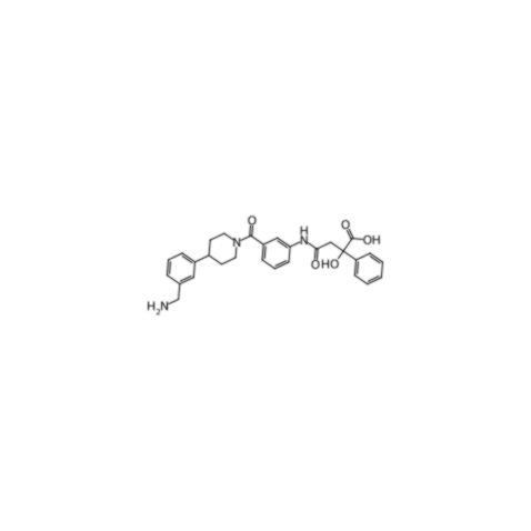 NCc1cccc(C2CCN(C(=O)c3cccc(NC(=O)CC(O)(C(=O)O)c4ccccc4)c3)CC2)c1